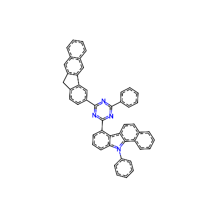 c1ccc(-c2nc(-c3ccc4c(c3)-c3cc5ccccc5cc3C4)nc(-c3cccc4c3c3ccc5ccccc5c3n4-c3ccccc3)n2)cc1